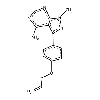 C=CCOc1ccc(-c2nn(C)c3ncnc(N)c23)cc1